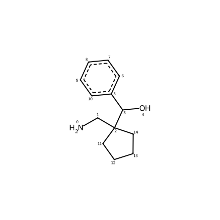 NCC1(C(O)c2ccccc2)CCCC1